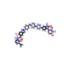 COc1cc2nn(C3CCC(CN4CCC(N5CCN(c6ccc7c(c6)n(C)c(=O)n7C6CCC(=O)NC6=O)CC5)CC4)CC3)cc2cc1C(=O)Nc1cccn(C2CC2)c1=O